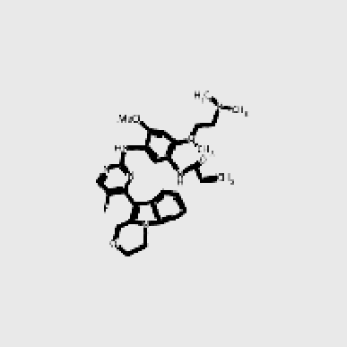 C=CC(=O)Nc1cc(Nc2ncc(F)c(-c3c4n(c5ccccc35)CCOC4)n2)c(OC)cc1N(C)CCN(C)C